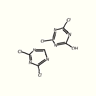 Clc1ncnc(Cl)n1.Oc1nc(Cl)nc(Cl)n1